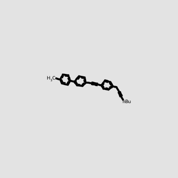 CCCCC#CCc1ccc(C#Cc2ccc(-c3ccc(C)cc3)cc2)cc1